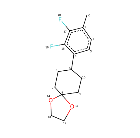 Cc1ccc(C2CCC3(CC2)OCCO3)c(F)c1F